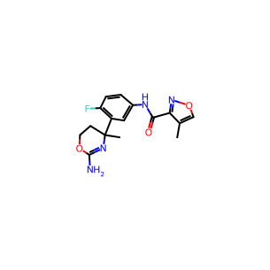 Cc1conc1C(=O)Nc1ccc(F)c(C2(C)CCOC(N)=N2)c1